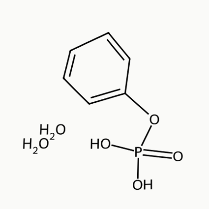 O.O.O=P(O)(O)Oc1ccccc1